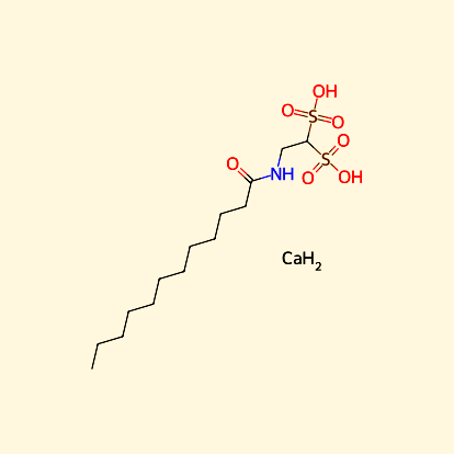 CCCCCCCCCCCC(=O)NCC(S(=O)(=O)O)S(=O)(=O)O.[CaH2]